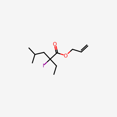 C=CCOC(=O)C(I)(CC)CC(C)C